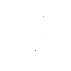 CC(C)N(C)C(=O)N1C2CCC1CNC2